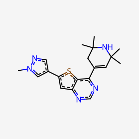 Cn1cc(-c2cc3ncnc(C4=CC(C)(C)NC(C)(C)C4)c3s2)cn1